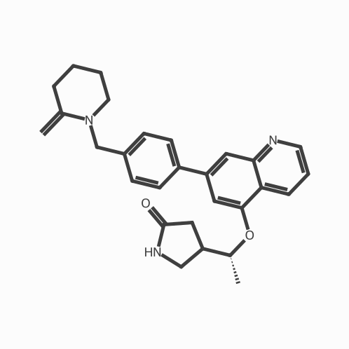 C=C1CCCCN1Cc1ccc(-c2cc(O[C@H](C)C3CNC(=O)C3)c3cccnc3c2)cc1